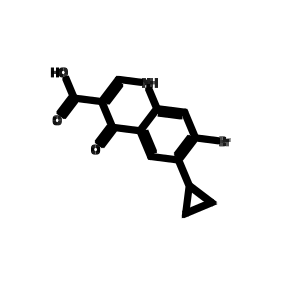 O=C(O)c1c[nH]c2cc(Br)c(C3CC3)cc2c1=O